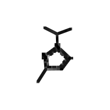 Cc1c[c]n(C(C)C)n1